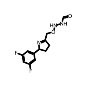 O=CNNOCC1=NC(c2cc(F)cc(F)c2)CC1